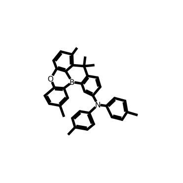 Cc1ccc(N(c2ccc(C)cc2)c2ccc3c(c2)B2c4cc(C)ccc4Oc4ccc(C)c(c42)C3(C)C)cc1